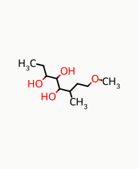 CCC(O)C(O)C(O)C(C)CCOC